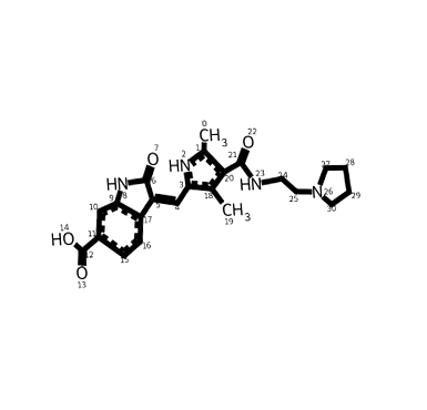 Cc1[nH]c(C=C2C(=O)Nc3cc(C(=O)O)ccc32)c(C)c1C(=O)NCCN1CCCC1